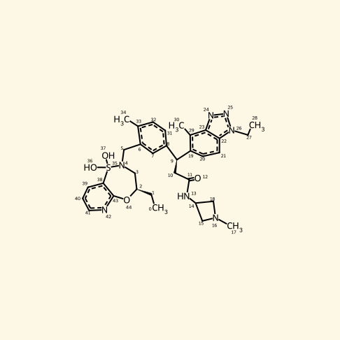 CC[C@@H]1CN(Cc2cc([C@H](CC(=O)NC3CN(C)C3)c3ccc4c(nnn4CC)c3C)ccc2C)S(O)(O)c2cccnc2O1